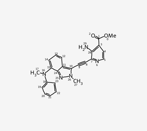 COC(=O)c1ccnc(C#Cc2c3cccc(N(C)c4ccccc4)c3nn2C)c1N